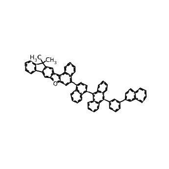 CC1(C)c2ccccc2-c2cc3oc4cc(-c5ccc(-c6c7ccccc7c(-c7cccc(-c8ccc9ccccc9c8)c7)c7ccccc67)c6ccccc56)c5ccccc5c4c3cc21